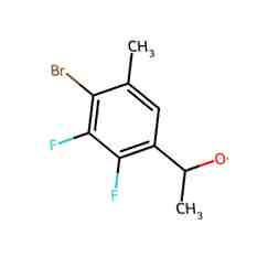 Cc1cc(C(C)[O])c(F)c(F)c1Br